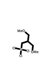 COCC(COC)C[Si](Cl)(Cl)Cl